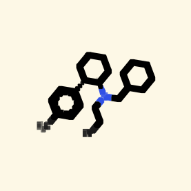 CC(C)CCN(CC1CCCCC1)[C@@H]1CC[CH]C[C@H]1c1ccc(C(F)(F)F)cc1